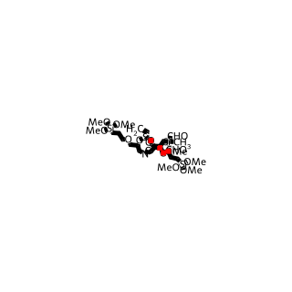 C=C[Si]12OC(COCCC[Si](OC)(OC)OC)CN(CC(COCCC[Si](OC)(OC)OC)O1)CC(C(COC)C[Si](C)(C=O)C=O)O2